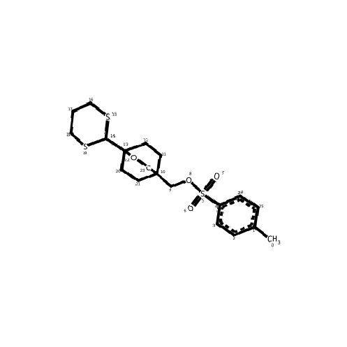 Cc1ccc(S(=O)(=O)OCC23CCC(C4SCCCS4)(CC2)OC3)cc1